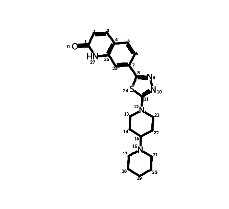 O=c1ccc2ccc(-c3nnc(N4CCC(N5CCCCC5)CC4)s3)cc2[nH]1